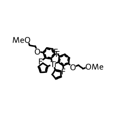 COCCOc1ccc(F)[c]([Ti]([C]2=CC=CC2)([C]2=CC=CC2)[c]2c(F)ccc(OCCOC)c2F)c1F